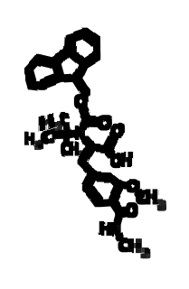 CNC(=O)c1ccc(CC(C(=O)O)N(C(=O)OCC2c3ccccc3-c3ccccc32)C(C)(C)C)cc1OC